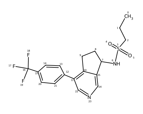 CCCS(=O)(=O)NC1CCc2c(-c3ccc(C(F)(F)F)cc3)cncc21